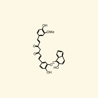 COc1cc(C=CC(=O)CC(=O)C=Cc2ccc(O)c(OCc3c(O)ccc4ccccc34)c2)ccc1O